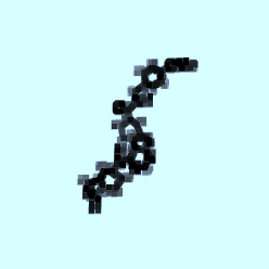 COc1ccc(CNC(=O)C2CCc3c(sc4ncnc(Nc5ccc6[nH]ncc6c5)c34)C2)cc1